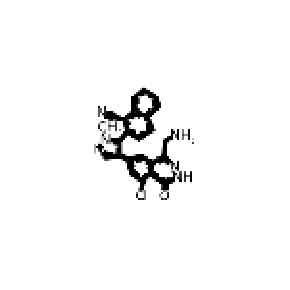 Cn1ncc(-c2cc(Cl)c3c(=O)[nH]nc(CN)c3c2)c1-c1ccc2ccccc2c1C#N